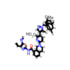 C=Cc1nc(NC(=O)c2cccc3c2CN(c2ccc(-c4cnn(CC56CC7(C)CC(C)(C5)CC(OC)(C7)C6)c4C)c(C(=O)O)n2)CC3)sc1N=C